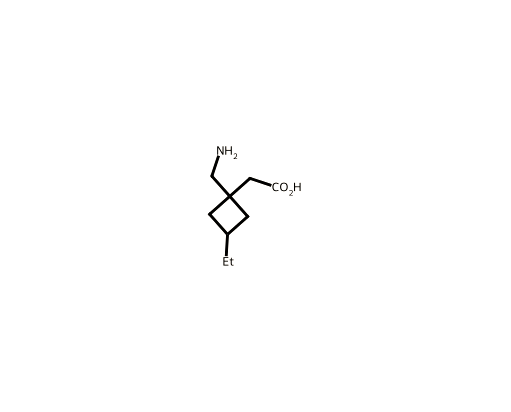 CCC1CC(CN)(CC(=O)O)C1